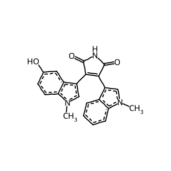 Cn1cc(C2=C(c3cn(C)c4ccc(O)cc34)C(=O)NC2=O)c2ccccc21